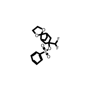 O=S(=O)(OC1(C(F)F)CC2CCC(C1)C21OCCO1)c1ccccc1